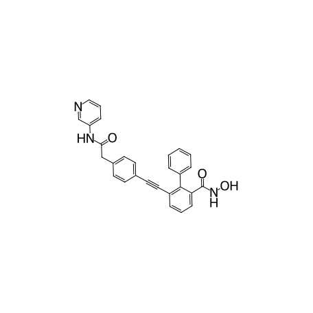 O=C(Cc1ccc(C#Cc2cccc(C(=O)NO)c2-c2ccccc2)cc1)Nc1cccnc1